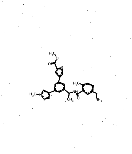 COC(=O)c1cc(-c2cc(-c3cnn(C)c3)cc(C(C)NC(=O)c3cc(CN)ccc3C)c2)cs1